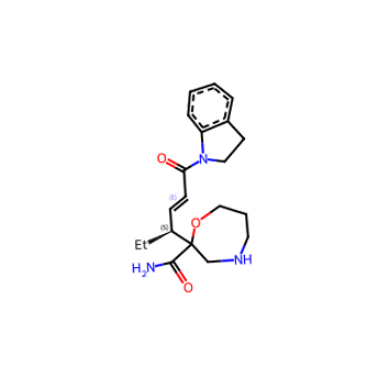 CC[C@@H](/C=C/C(=O)N1CCc2ccccc21)C1(C(N)=O)CNCCCO1